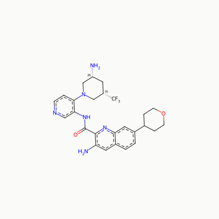 Nc1cc2ccc(C3CCOCC3)cc2nc1C(=O)Nc1cnccc1N1C[C@H](N)C[C@H](C(F)(F)F)C1